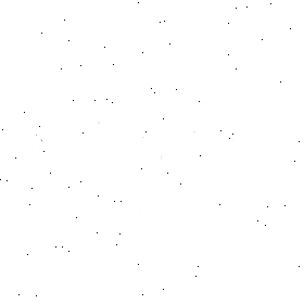 Cc1cc(C)c(S(=O)(=O)CON)c(C)c1